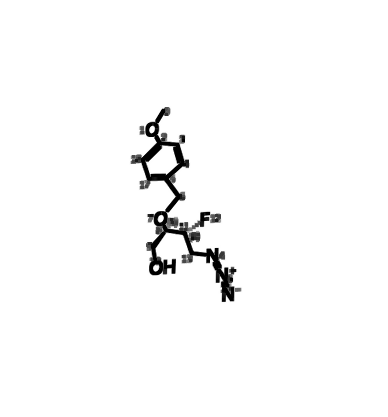 COc1ccc(CO[C@H](CO)[C@H](F)CN=[N+]=[N-])cc1